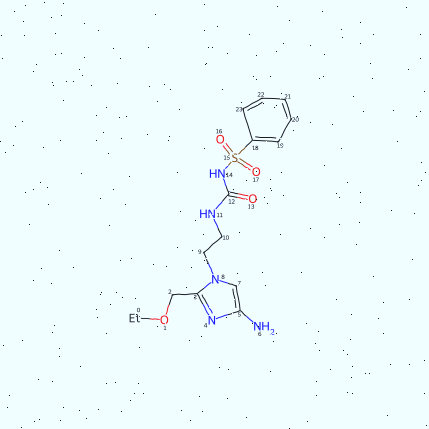 CCOCc1nc(N)cn1CCNC(=O)NS(=O)(=O)c1ccccc1